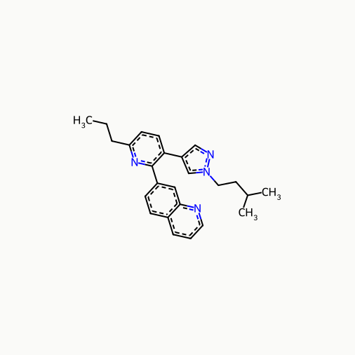 CCCc1ccc(-c2cnn(CCC(C)C)c2)c(-c2ccc3cccnc3c2)n1